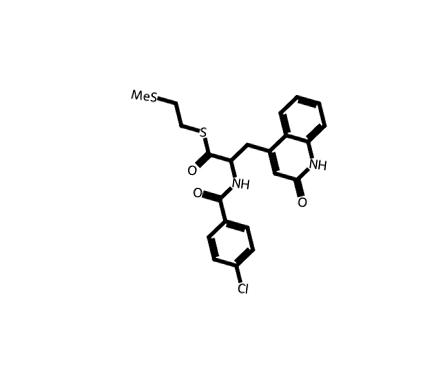 CSCCSC(=O)C(Cc1cc(=O)[nH]c2ccccc12)NC(=O)c1ccc(Cl)cc1